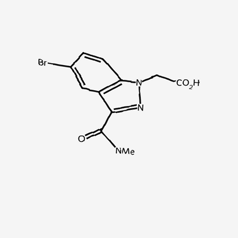 CNC(=O)c1nn(CC(=O)O)c2ccc(Br)cc12